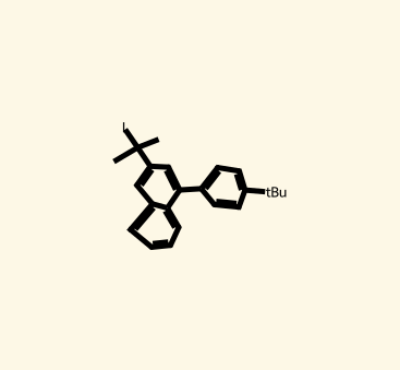 CC(C)(C)c1ccc(-c2cc(C(C)(C)I)cc3ccccc23)cc1